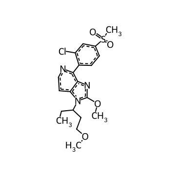 CCC(CCOC)n1c(OC)nc2c(-c3ccc(S(C)(=O)=O)cc3Cl)nccc21